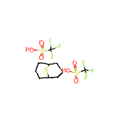 C1CC2CCCC(C1)S2.O=S(=O)(O)C(F)(F)F.O=S(=O)(O)C(F)(F)F